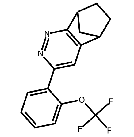 FC(F)(F)Oc1ccccc1-c1cc2c(nn1)C1CCC2C1